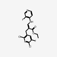 CCOC(=O)C(=CNc1ccncc1F)Cc1cc(F)c(Cl)nc1Cl